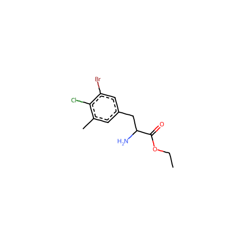 CCOC(=O)C(N)Cc1cc(C)c(Cl)c(Br)c1